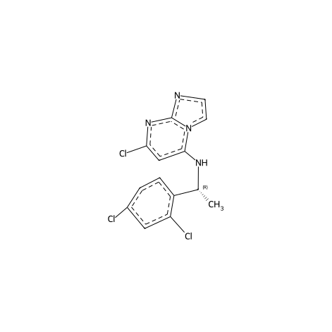 C[C@@H](Nc1cc(Cl)nc2nccn12)c1ccc(Cl)cc1Cl